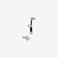 [La+3].[O-2].[O]=[Co-][OH]